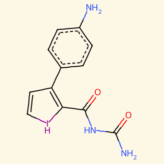 NC(=O)NC(=O)C1=C(c2ccc(N)cc2)C=C[IH]1